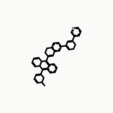 CC1C=CC=C(C2=c3ccccc3=C(C3=Cc4cc(C5=CCCC(c6cccnc6)=C5)ccc4CC3)C3C=CC=CC23)C1